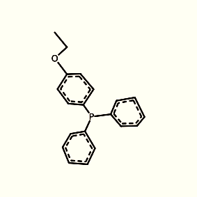 CCOc1ccc(P(c2ccccc2)c2ccccc2)cc1